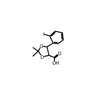 CC1(C)OC(C(=O)O)C(c2ccccc2I)O1